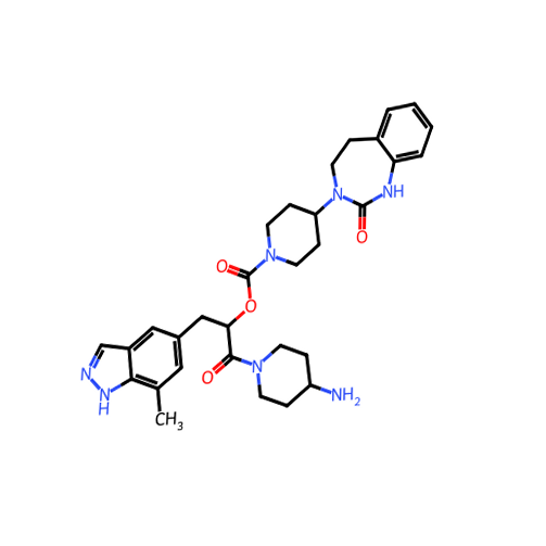 Cc1cc(CC(OC(=O)N2CCC(N3CCc4ccccc4NC3=O)CC2)C(=O)N2CCC(N)CC2)cc2cn[nH]c12